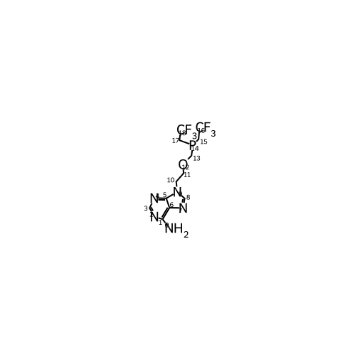 Nc1ncnc2c1ncn2CCOCP(CC(F)(F)F)CC(F)(F)F